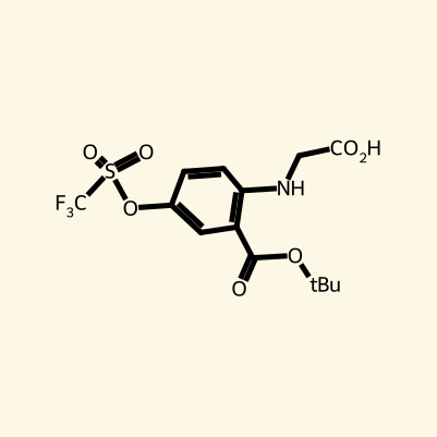 CC(C)(C)OC(=O)c1cc(OS(=O)(=O)C(F)(F)F)ccc1NCC(=O)O